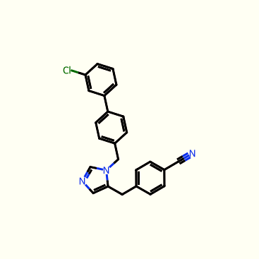 N#Cc1ccc(Cc2cncn2Cc2ccc(-c3cccc(Cl)c3)cc2)cc1